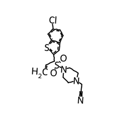 C=CC(c1cc2ccc(Cl)cc2s1)S(=O)(=O)N1CCN(CC#N)CC1